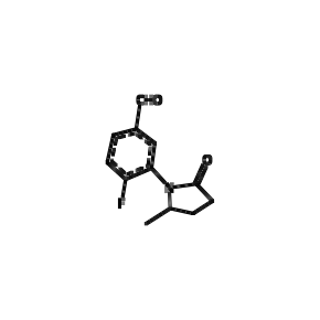 CC1CCC(=O)N1c1cc(C=O)ccc1F